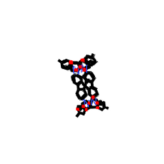 Cc1ccc(N(C2=CC3C(C=C2)c2ccc(N(c4ccc(C)cc4)c4ccc(C)cc4)cc2C32c3cc(N(c4ccc(C)cc4)c4ccc(C)cc4)ccc3-c3ccc(N(c4ccc(C)cc4)c4ccc(C)cc4)cc32)c2ccc(C)cc2)cc1